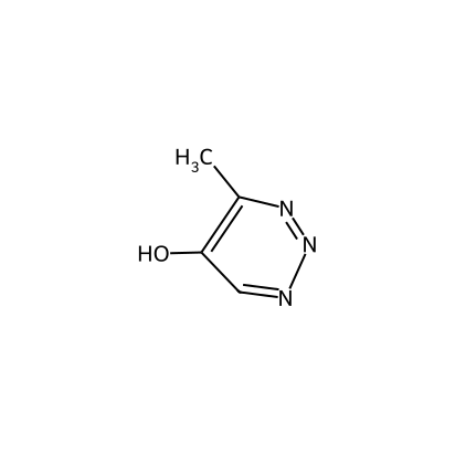 Cc1nnncc1O